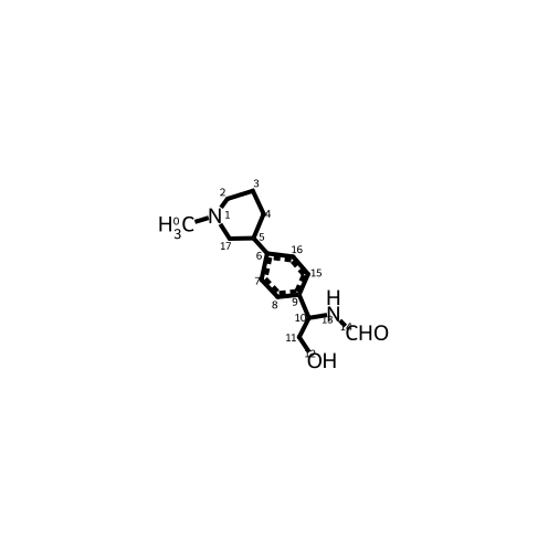 CN1CCCC(c2ccc(C(CO)NC=O)cc2)C1